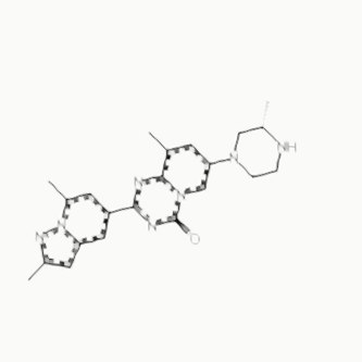 Cc1cc2cc(-c3nc(=O)n4cc(N5CCN[C@@H](C)C5)cc(C)c4n3)cc(C)n2n1